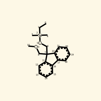 CC[Si](C)(C)OCC1(COC)c2ccccc2-c2ccccc21